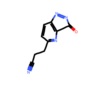 N#CCCc1ccc2c(n1)C(=O)N=N2